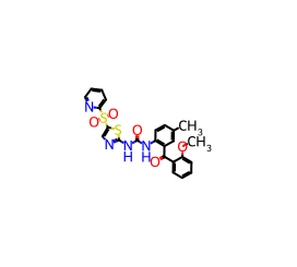 COc1ccccc1C(=O)c1cc(C)ccc1NC(=O)Nc1ncc(S(=O)(=O)c2ccccn2)s1